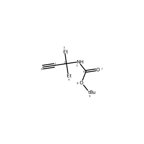 C#CC(CC)(CC)NC(=O)OC(C)(C)C